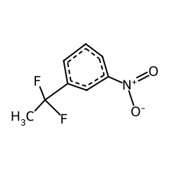 CC(F)(F)c1cccc([N+](=O)[O-])c1